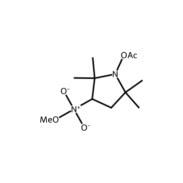 CO[N+]([O-])([O-])C1CC(C)(C)N(OC(C)=O)C1(C)C